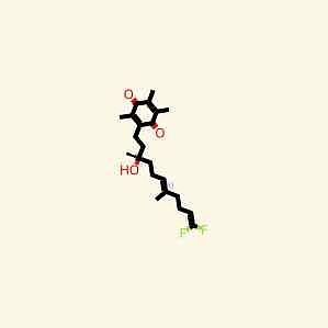 CC1=C(C)C(=O)C(CC[C@@](C)(O)CC/C=C(\C)CCC=C(F)F)=C(C)C1=O